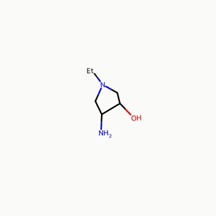 CCN1CC(N)C(O)C1